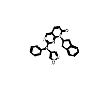 O=c1ccc2cnc(N(c3ccccc3)c3cn[nH]c3)nc2n1C1Cc2ccccc2C1